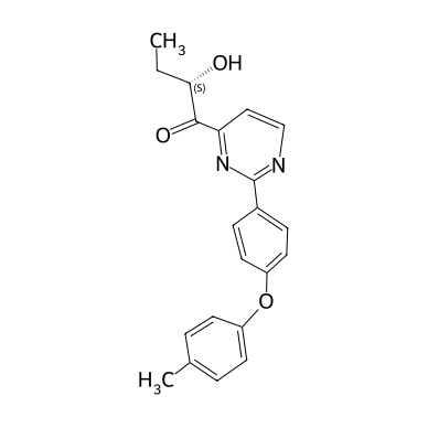 CC[C@H](O)C(=O)c1ccnc(-c2ccc(Oc3ccc(C)cc3)cc2)n1